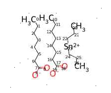 CCCCCCCC(=O)[O-].CCCCCCCC(=O)[O-].CC[CH2][Sn+2][CH2]CC